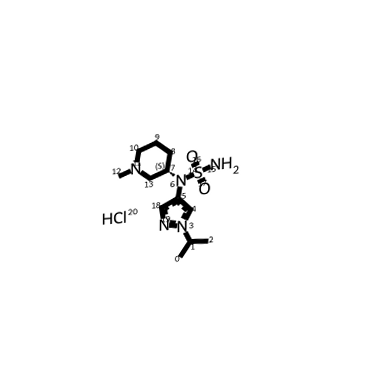 CC(C)n1cc(N([C@H]2CCCN(C)C2)S(N)(=O)=O)cn1.Cl